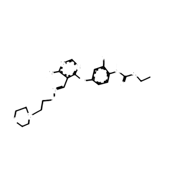 CCNC(=O)Nc1ccc(Oc2ncnc(N)c2C=NOCCN2CCOCC2)cc1Cl